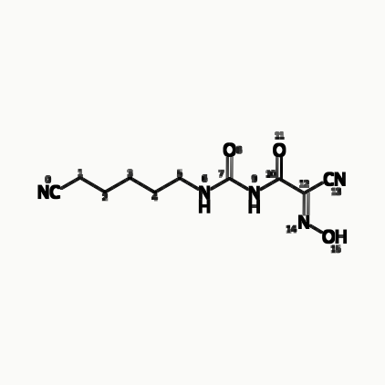 N#CCCCCCNC(=O)NC(=O)C(C#N)=NO